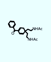 CC(=O)NCCC1(CCNC(C)=O)C=CC(C(=O)c2ccccc2)=CC1